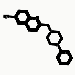 Nc1ccc2nc(CN3CCN(c4ccccc4)CC3)ccc2c1